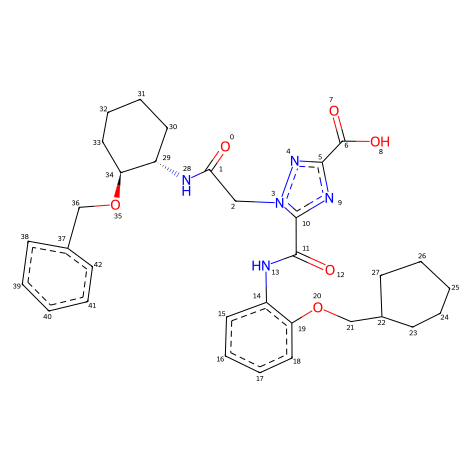 O=C(Cn1nc(C(=O)O)nc1C(=O)Nc1ccccc1OCC1CCCCC1)N[C@H]1CCCC[C@@H]1OCc1ccccc1